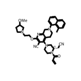 C=CC(=O)N1CCN(c2c(C#N)c(OCCN3CCC(OC)C3)nc3c2CCN(c2cccc4cccc(C)c24)C3)C[C@@H]1CC#N